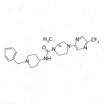 C[C@@H]1CN(c2cnc(C(F)(F)F)cn2)CCN1C(=O)NC1CCN(Cc2ccccc2)CC1